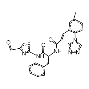 Cc1ccc(-n2cnnn2)c(/C=C/C(=O)N[C@@H](Cc2ccccc2)C(=O)Nc2nc(C=O)cs2)c1